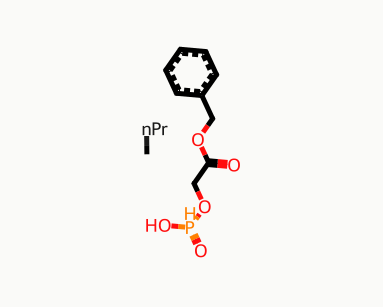 CCCC.O=C(CO[PH](=O)O)OCc1ccccc1